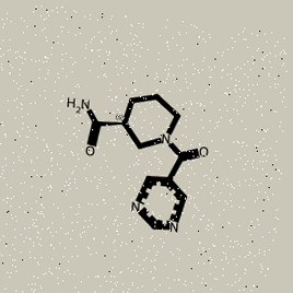 NC(=O)[C@H]1CCCN(C(=O)c2cncnc2)C1